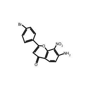 Nc1ccc2c(=O)cc(-c3ccc(Br)cc3)oc2c1[N+](=O)[O-]